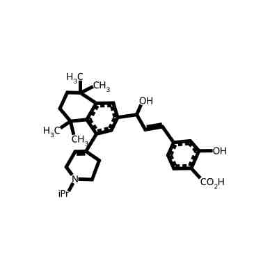 CC(C)N1CC=C(c2cc(C(O)C=Cc3ccc(C(=O)O)c(O)c3)cc3c2C(C)(C)CCC3(C)C)CC1